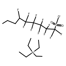 CCCC(F)C(F)(F)C(F)(F)C(F)(F)C(F)(F)C(F)(F)S(=O)(=O)[O-].CC[N+](CC)(CC)CC